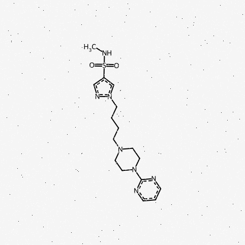 CNS(=O)(=O)c1cnn(CCCCN2CCN(c3ncccn3)CC2)c1